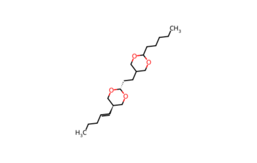 CCC/C=C/[C@H]1CO[C@H](CCC2COC(CCCCC)OC2)OC1